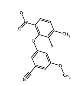 COc1cc(C#N)cc(Oc2c([N+](=O)[O-])ccc(C)c2F)c1